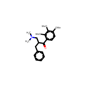 COc1ccc(C(=O)C(Cc2ccccc2)CN(C)C)c(OC)c1OC